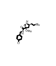 CO[C@]1(C(=O)NCc2ccc(Cl)cc2)C[C@H](CCC(C)(C)C)NO1